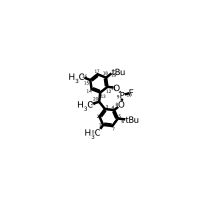 Cc1cc2c(c(C(C)(C)C)c1)OP(F)Oc1c(cc(C)cc1C(C)(C)C)C2C